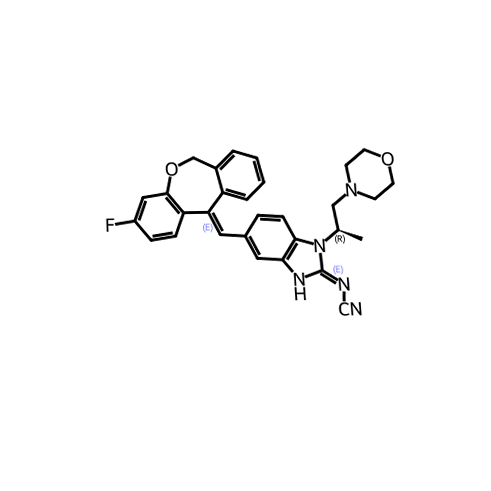 C[C@H](CN1CCOCC1)n1/c(=N/C#N)[nH]c2cc(/C=C3\c4ccccc4COc4cc(F)ccc43)ccc21